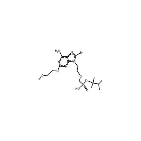 COCCOc1nc(N)c2nc(Br)n(CCOCP(=O)(O)OC(C)(C)C(C)C)c2n1